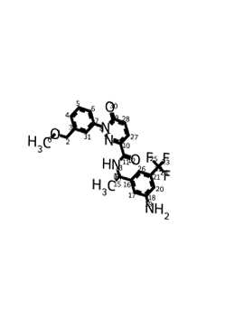 COCc1cccc(-n2nc(C(=O)N[C@H](C)c3cc(N)cc(C(F)(F)F)c3)ccc2=O)c1